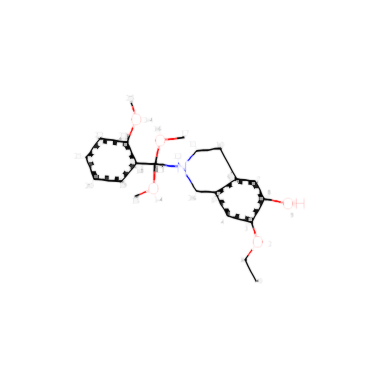 CCOc1cc2c(cc1O)CCN(C(OC)(OC)c1ccccc1OC)C2